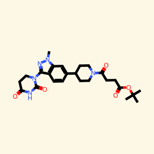 Cn1nc(N2CCC(=O)NC2=O)c2ccc(C3CCN(C(=O)CCC(=O)OC(C)(C)C)CC3)cc21